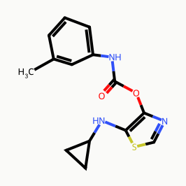 Cc1cccc(NC(=O)Oc2ncsc2NC2CC2)c1